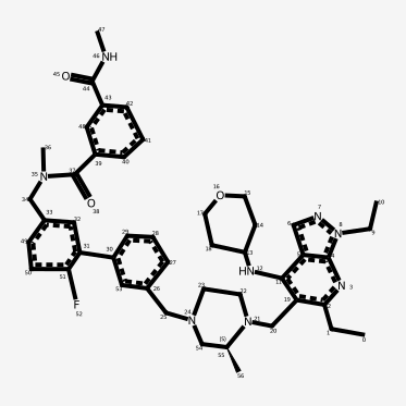 CCc1nc2c(cnn2CC)c(NC2CCOCC2)c1CN1CCN(Cc2cccc(-c3cc(CN(C)C(=O)c4cccc(C(=O)NC)c4)ccc3F)c2)C[C@@H]1C